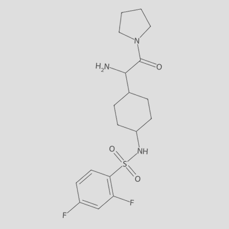 NC(C(=O)N1CCCC1)C1CCC(NS(=O)(=O)c2ccc(F)cc2F)CC1